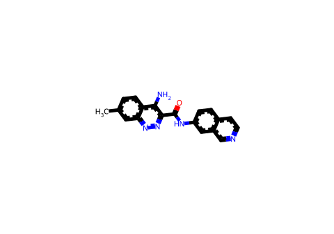 Cc1ccc2c(N)c(C(=O)Nc3ccc4ccncc4c3)nnc2c1